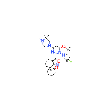 C[C@H](Oc1cc(N2CCN(C)C3(CC3)C2)nc(-c2onc3c2CCC[C@@]32CCCCC2=O)n1)[C@@H]1C[C@@H](F)CN1C